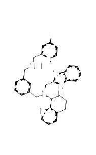 Clc1ccnc(CNCc2cccc(CN(Cc3nc4ccccc4[nH]3)C3CCCc4cccnc43)c2)c1